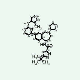 Cc1n[nH]cc1Nc1nccc(-c2ccc3c(c2)CN([C@@H]2CCOC2)CC[C@@H]3NC(=O)c2nnc(C(C)(C)C)s2)n1